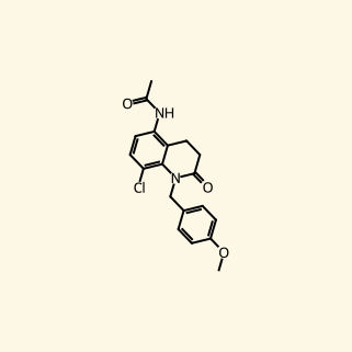 COc1ccc(CN2C(=O)CCc3c(NC(C)=O)ccc(Cl)c32)cc1